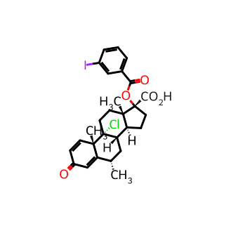 C[C@H]1C[C@H]2[C@@H]3CC[C@](OC(=O)c4cccc(I)c4)(C(=O)O)[C@@]3(C)CC[C@]2(Cl)[C@@]2(C)C=CC(=O)C=C12